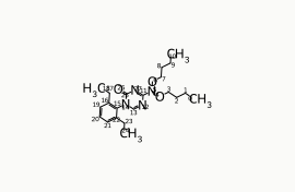 CCCCON(OCCCC)c1ncn(-c2c(CC)cccc2CC)c(=O)n1